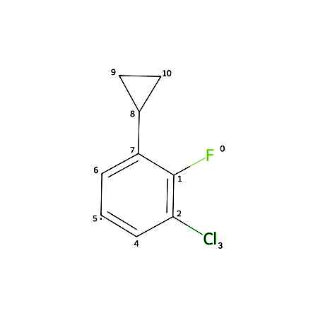 Fc1c(Cl)c[c]cc1C1CC1